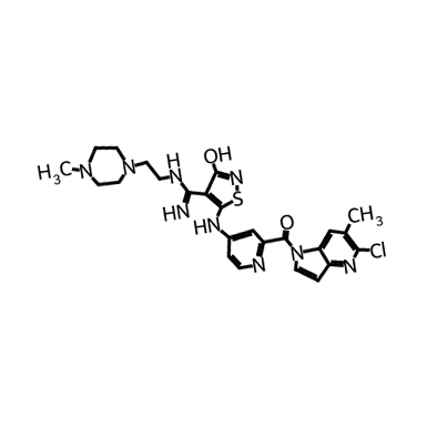 Cc1cc2c(ccn2C(=O)c2cc(Nc3snc(O)c3C(=N)NCCN3CCN(C)CC3)ccn2)nc1Cl